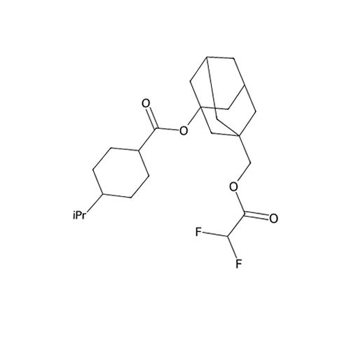 CC(C)C1CCC(C(=O)OC23CC4CC(CC(COC(=O)C(F)F)(C4)C2)C3)CC1